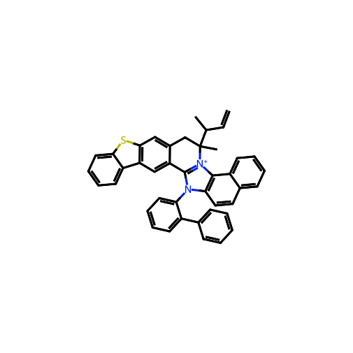 C=CC(C)C1(C)Cc2cc3sc4ccccc4c3cc2-c2n(-c3ccccc3-c3ccccc3)c3ccc4ccccc4c3[n+]21